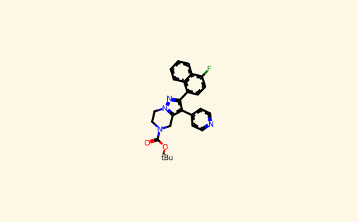 CC(C)(C)OC(=O)N1CCn2nc(-c3ccc(F)c4ccccc34)c(-c3ccncc3)c2C1